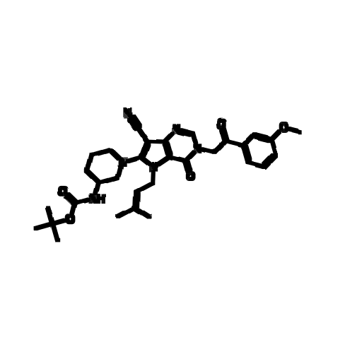 COc1cccc(C(=O)Cn2cnc3c(C#N)c(N4CCCC(NC(=O)OC(C)(C)C)C4)n(CC=C(C)C)c3c2=O)c1